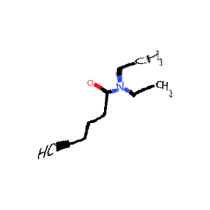 C#CCCCC(=O)N(CC)CC